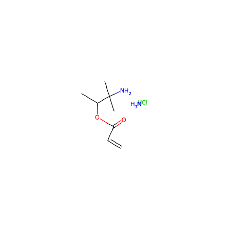 C=CC(=O)OC(C)C(C)(C)N.Cl.N